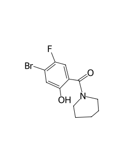 O=C(c1cc(F)c(Br)cc1O)N1CCCCC1